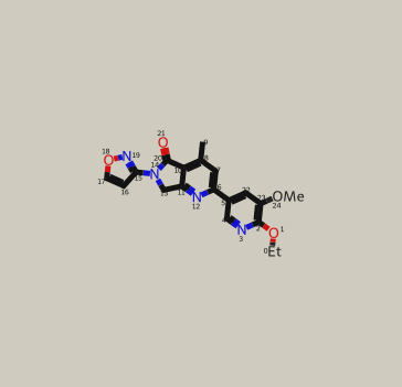 CCOc1ncc(-c2cc(C)c3c(n2)CN(c2ccon2)C3=O)cc1OC